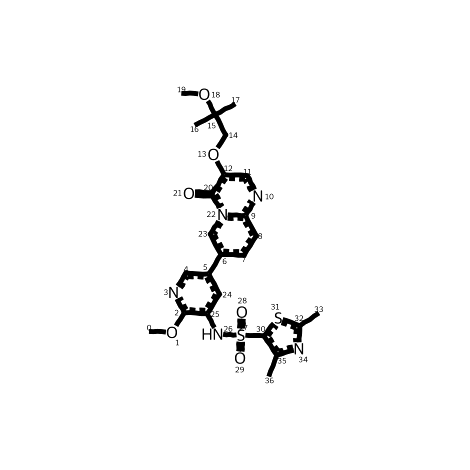 COc1ncc(-c2ccc3ncc(OCC(C)(C)OC)c(=O)n3c2)cc1NS(=O)(=O)c1sc(C)nc1C